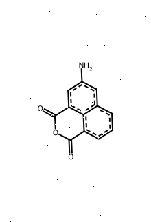 Nc1cc2c3c(cccc3c1)C(=O)OC2=O